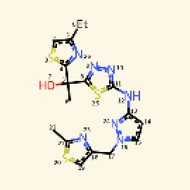 CCc1csc(C(C)(O)c2nnc(Nc3ccn(Cc4csc(C)n4)n3)s2)n1